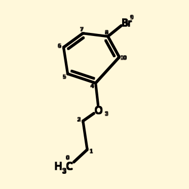 CCCOc1cccc(Br)c1